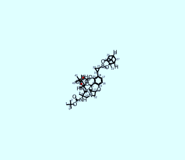 CC(C)(C)OC(=O)NC(C)(CN1CC(Oc2ccc(C3CC3B3OC4C[C@@H]5C[C@@H](C5(C)C)[C@]4(C)O3)c(OC(=O)OC(C)(C)C)c2C(=O)OC(C)(C)C)C1)C(=O)NCC(N)=O